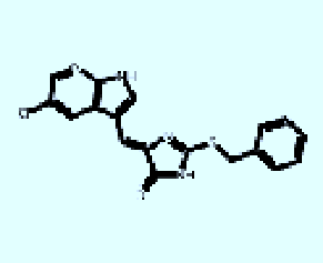 O=C1NC(SCc2ccccc2)=NC1=Cc1c[nH]c2ncc(Cl)cc12